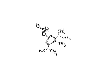 CC(C)c1cc(O[SH](=O)=O)cc(C(C)C)c1N